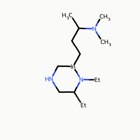 CCC1CN[CH2][In]([CH2]CC(C)N(C)C)[N]1CC